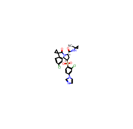 N#CC1(NC(=O)[C@@H]2C[C@@H](S(=O)(=O)c3ccc(-n4ccnc4)cc3Cl)CN2C(=O)C2(c3ccc(Cl)cc3)CC2)CC1